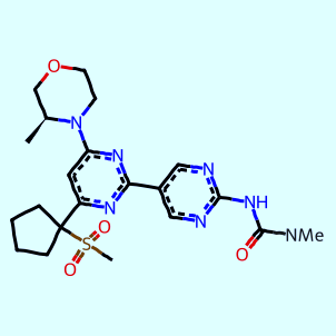 CNC(=O)Nc1ncc(-c2nc(N3CCOC[C@@H]3C)cc(C3(S(C)(=O)=O)CCCC3)n2)cn1